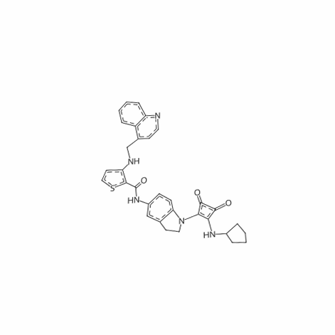 O=C(Nc1ccc2c(c1)CCN2c1c(NC2CCCC2)c(=O)c1=O)c1sccc1NCc1ccnc2ccccc12